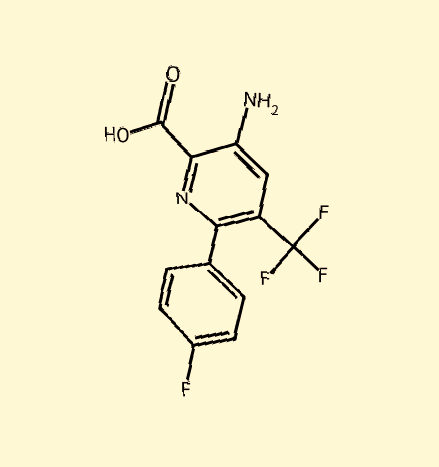 Nc1cc(C(F)(F)F)c(-c2ccc(F)cc2)nc1C(=O)O